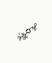 O=C1CCN1Cc1ccc(-c2noc(C(F)(F)F)n2)cc1